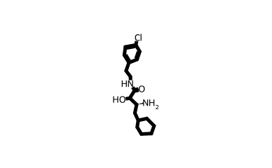 N[C@H](CC1CCCCC1)C(O)C(=O)NCCc1ccc(Cl)cc1